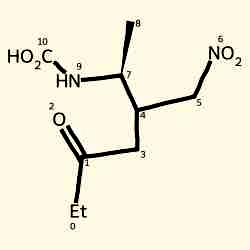 CCC(=O)CC(C[N+](=O)[O-])[C@H](C)NC(=O)O